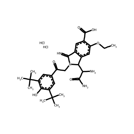 CCOc1cc2c(cc1C(=O)O)C(=N)N(CC(=O)c1cc(C(C)(C)C)c(O)c(C(C)(C)C)c1)C2C(N)C(N)=O.Cl.Cl